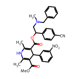 COC(=O)C1=C(C)NC(C)=C(C(=O)OC(CN(C)Cc2ccccc2)c2ccc(C#N)cc2)C1c1cccc([N+](=O)[O-])c1